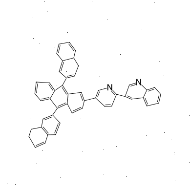 C1=CC2=CC(c3c4ccccc4c(-c4ccc5c(c4)CCC=C5)c4ccc(-c5ccc(-c6cnc7ccccc7c6)nc5)cc34)=CCC2C=C1